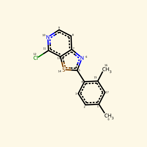 Cc1ccc(-c2nc3ccnc(Cl)c3s2)c(C)c1